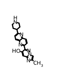 Cc1cn2nc(-c3ccc4nc(C5CCNCC5)ccc4n3)c(O)cc2n1